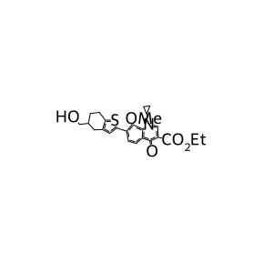 CCOC(=O)c1cn(C2CC2)c2c(OC)c(-c3cc4c(s3)CCC(CO)C4)ccc2c1=O